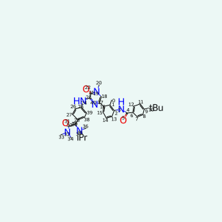 Cc1c(NC(=O)c2ccc(C(C)(C)C)cc2)cccc1-c1cn(C)c(=O)c(Nc2ccc([C@H](C(=O)N(C)C)N(C)C(C)C)cc2)n1